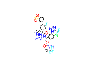 CC(C)(C)C[C@]1(C2(C)C=C(F)C(c3cccc(S(C)(=O)=O)c3)=CC2)NC(=N)N([C@H](COC(=O)NC2(C(F)(F)F)CC2)c2ccc(Cl)c(-n3ncnc3C(F)F)c2)C1=O